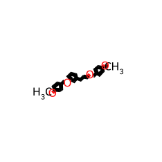 COc1ccc(COC=CCc2cccc(OCc3ccc(OC)cc3)c2)cc1